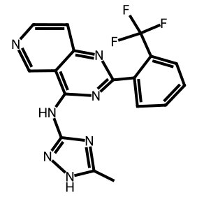 Cc1nc(Nc2nc(-c3ccccc3C(F)(F)F)nc3ccncc23)n[nH]1